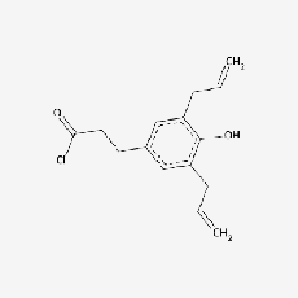 C=CCc1cc(CCC(=O)Cl)cc(CC=C)c1O